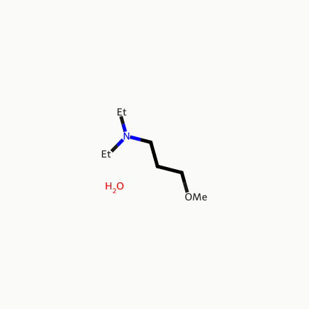 CCN(CC)CCCOC.O